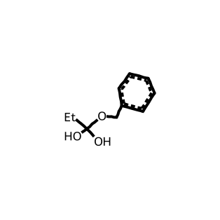 CCC(O)(O)OCc1ccccc1